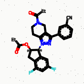 CCC(=O)O[C@@H]1Cc2c(F)cc(F)cc2[C@H]1n1nc(-c2cccc(C#N)c2)c2c1CCN(C(=O)CC)C2